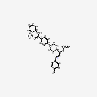 COCC(/C=C/c1ccc(F)cc1)N1CCN(c2ccc(C(=O)Nc3ccccc3N)cn2)CC1